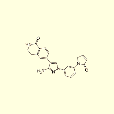 Nc1nn(-c2cccc(N3CC=CC3=O)c2)cc1-c1ccc2c(c1)CCNC2=O